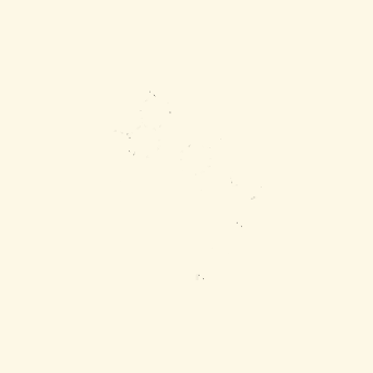 CCCCn1cc(-c2cc(F)c(O[C@@H]3CCN(CC4CCNCC4)C[C@H]3F)c(F)c2)c2ccncc2c1=O